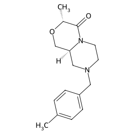 Cc1ccc(CN2CCN3C(=O)[C@@H](C)OC[C@@H]3C2)cc1